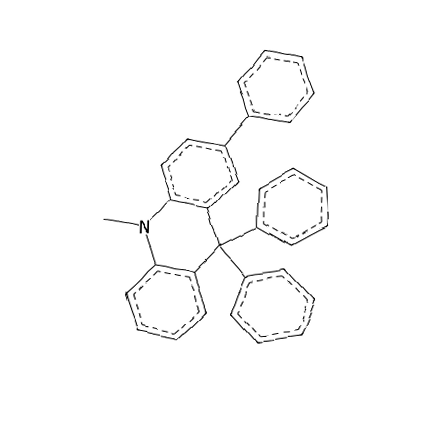 CN1c2ccccc2C(c2ccccc2)(c2ccccc2)c2cc(-c3ccccc3)ccc21